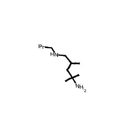 CC(C)CNCC(C)CC(C)(C)N